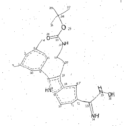 Cc1cc(C)cc(-c2[nH]c3ccc(C(=N)NO)cc3c2CCNC(=O)OC(C)(C)C)c1